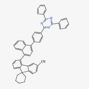 N#Cc1ccc2c(c1)-c1c(-c3ccc(-c4ccc(-c5nc(-c6ccccc6)nc(-c6ccccc6)n5)cc4)c4ccccc34)cccc1C21CCCCC1